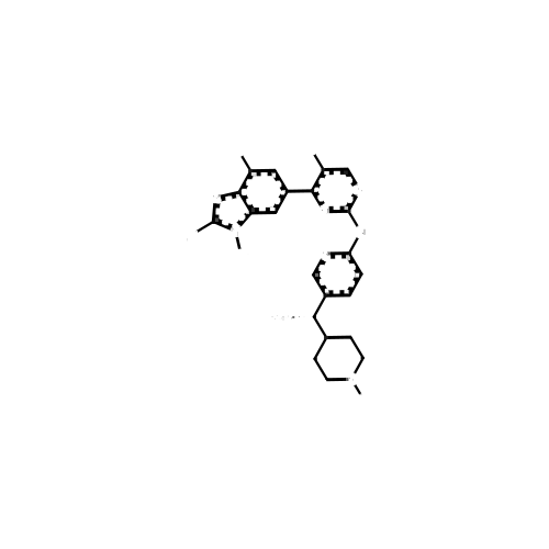 CCN1CCC([C@H](NC)c2ccc(Nc3ncc(F)c(-c4cc(F)c5nc(C)n(C(C)C)c5c4)n3)nc2)CC1